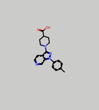 Cc1ccc(-n2nc(N3CCC(C(=O)O)CC3)c3ccncc32)cc1